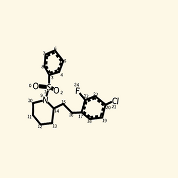 O=S(=O)(c1ccccc1)N1CCCCC1CCc1ccc(Cl)cc1F